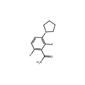 NC(=O)c1c(F)ccc(N2CCCC2)c1F